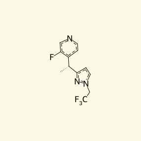 C[C@@H](c1ccn(CC(F)(F)F)n1)c1ccncc1F